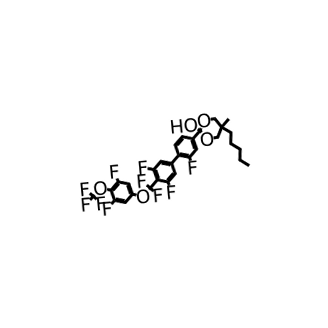 CCCCCC1(C)COC(O)(c2ccc(-c3cc(F)c(C(F)(F)Oc4cc(F)c(OC(F)(F)F)c(F)c4)c(F)c3)c(F)c2)OC1